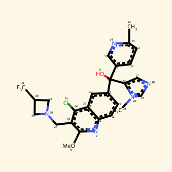 COc1nc2ccc(C(O)(c3ccc(C)nc3)c3cncn3C)cc2c(Cl)c1CN1CC(C(F)(F)F)C1